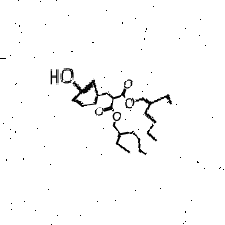 CCCCC(CC)COC(=O)C(Cc1cccc(O)c1)C(=O)OCC(CC)CCCC